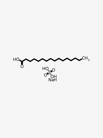 CCCCCCCCCCCCCCCC(=O)O.O=S(=O)(O)O.[NaH]